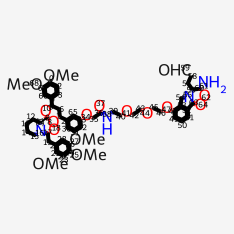 COc1ccc(CCC(OC(=O)[C@@H]2CCCCN2C(=O)Cc2cc(OC)c(OC)c(OC)c2)c2cccc(OCC(=O)NCCOCCOCCOc3cccc4c3CN(C(CCC=O)C(N)=O)C4=O)c2)cc1OC